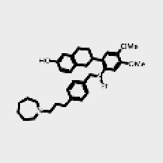 CCN(Cc1ccc(CCCN2CCCCCC2)cc1)c1cc(OC)c(OC)cc1C1CCc2cc(O)ccc2C1